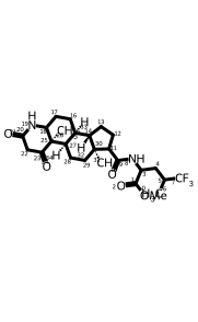 COC(=O)C(CC(C)C(F)(F)F)NC(=O)C1CC[C@H]2[C@@H]3CCC4NC(=O)CC(=O)[C@]4(C)[C@@H]3CC[C@]12C